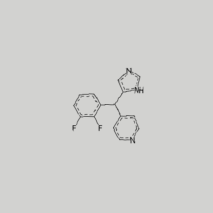 Fc1cccc(C(c2ccncc2)c2cnc[nH]2)c1F